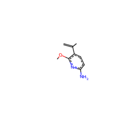 C=C(C)c1ccc(N)nc1OC